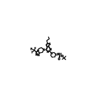 CCCc1cc2c(N3CCn4c(nnc4C(F)(F)F)C3)nc(N3CCC[C@H](NC(=O)OC(C)(C)C)C3)nc2s1